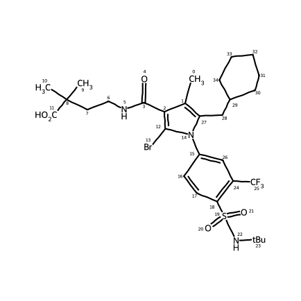 Cc1c(C(=O)NCCC(C)(C)C(=O)O)c(Br)n(-c2ccc(S(=O)(=O)NC(C)(C)C)c(C(F)(F)F)c2)c1CC1CCCCC1